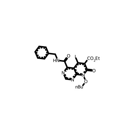 CCCCOn1c(=O)c(C(=O)OCC)c(I)c2c(C(=O)NCc3ccccc3)ncnc21